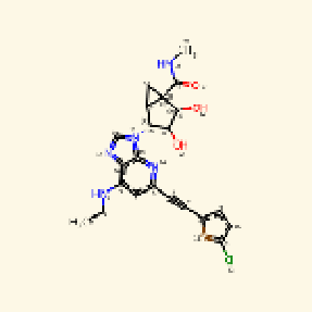 CCNc1cc(C#Cc2ccc(Cl)s2)nc2c1ncn2[C@H]1C(O)[C@H](O)[C@@]2(C(=O)NC)CC12